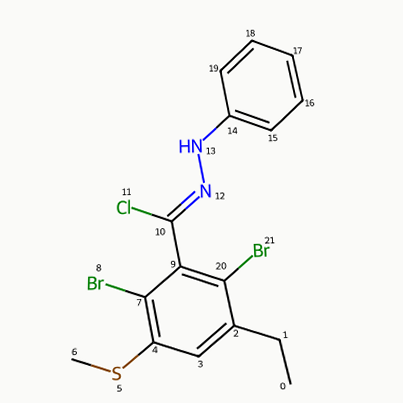 CCc1cc(SC)c(Br)c(C(Cl)=NNc2ccccc2)c1Br